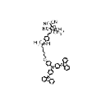 CC(CCCCCCOc1ccc(N(c2ccc(-n3c4ccccc4c4ccccc43)cc2)c2ccc(-n3c4ccccc4c4ccccc43)cc2)cc1)Nc1ccc(C=CC2=C(C#N)C(=C(C#N)C#N)OC2(C)C)cc1